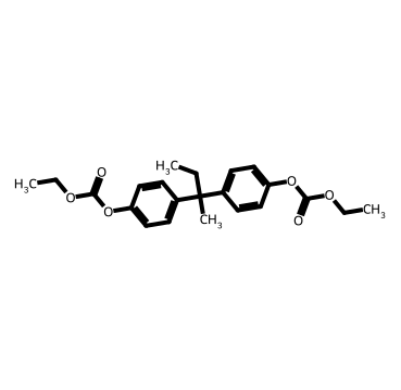 CCOC(=O)Oc1ccc(C(C)(CC)c2ccc(OC(=O)OCC)cc2)cc1